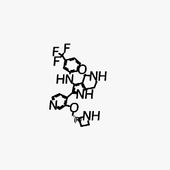 O=C1NCCc2[nH]c(-c3ccncc3OC[C@H]3CCN3)c(Nc3cccc(C(F)(F)F)c3)c21